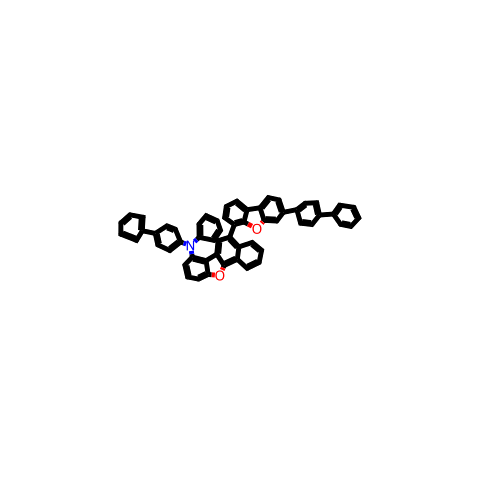 c1ccc(-c2ccc(-c3ccc4c(c3)oc3c(-c5cc6c(oc7cccc(N(c8ccccc8)c8ccc(-c9ccccc9)cc8)c76)c6ccccc56)cccc34)cc2)cc1